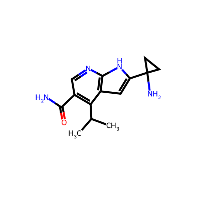 CC(C)c1c(C(N)=O)cnc2[nH]c(C3(N)CC3)cc12